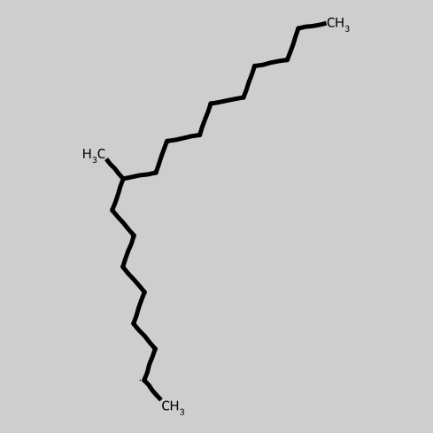 C[CH]CCCCCCC(C)CCCCCCCCC